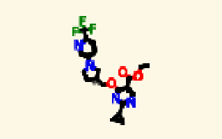 CCOC(=O)c1cnc(C2CC2)nc1OC[C@H]1CCN(c2ccc(C(F)(F)F)nc2)C1